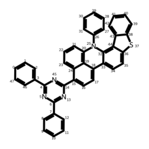 c1ccc(-c2nc(-c3ccccc3)nc(-c3ccc4c5c(cccc35)N(c3ccccc3)c3c-4ccc4sc5ccccc5c34)n2)cc1